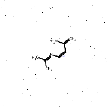 C=C(N)/C=C\N=C(C)C